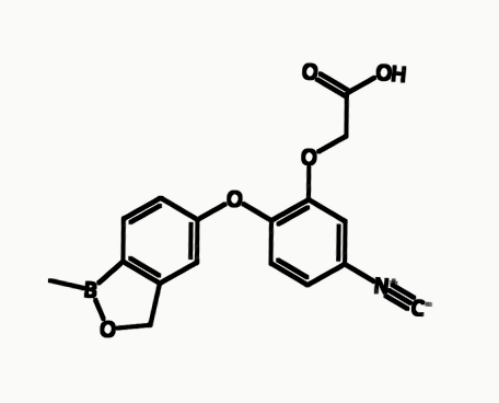 [C-]#[N+]c1ccc(Oc2ccc3c(c2)COB3C)c(OCC(=O)O)c1